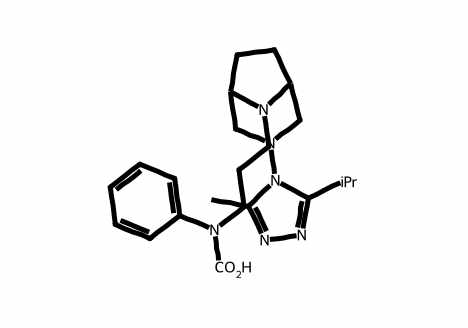 Cc1nnc(C(C)C)n1N1CC2CCC(C1)N2CCCN(C(=O)O)c1ccccc1